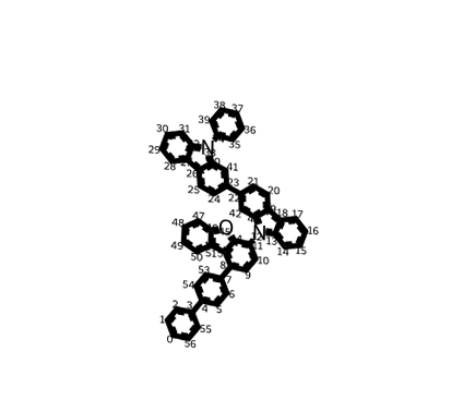 c1ccc(-c2ccc(-c3ccc(-n4c5ccccc5c5ccc(-c6ccc7c8ccccc8n(-c8ccccc8)c7c6)cc54)c4oc5ccccc5c34)cc2)cc1